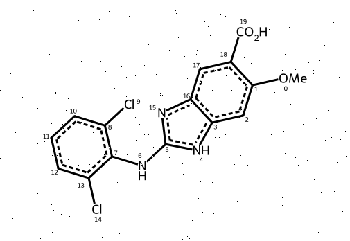 COc1cc2[nH]c(Nc3c(Cl)cccc3Cl)nc2cc1C(=O)O